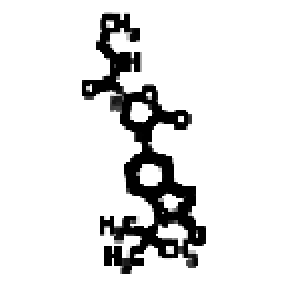 CCNC(=O)[C@H]1CN(c2ccc3c(c2)sc(=O)n3C(C)(C)C)C(=O)O1